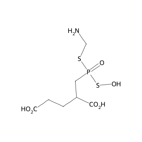 NCSP(=O)(CC(CCC(=O)O)C(=O)O)SO